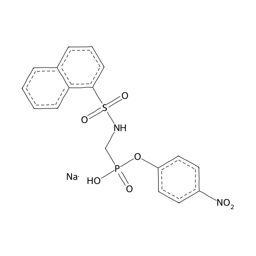 O=[N+]([O-])c1ccc(OP(=O)(O)CNS(=O)(=O)c2cccc3ccccc23)cc1.[Na]